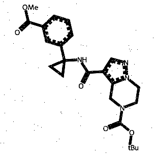 COC(=O)c1cccc(C2(NC(=O)c3cnn4c3CN(C(=O)OC(C)(C)C)CC4)CC2)c1